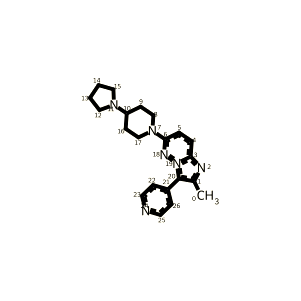 Cc1nc2ccc(N3CCC(N4CCCC4)CC3)nn2c1-c1ccncc1